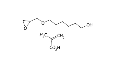 C=C(C)C(=O)O.OCCCCCCOCC1CO1